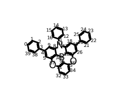 c1ccc(-c2cc3c4c(c2)N(c2ccccc2)c2cc(-c5ccccc5)cc5c2B4c2c(cccc2O5)O3)cc1